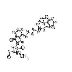 CNC(=O)C(CCC=O)N1Cc2c(CCCCCN3CCC4(CC3)COc3ccccc34)cccc2C1=O